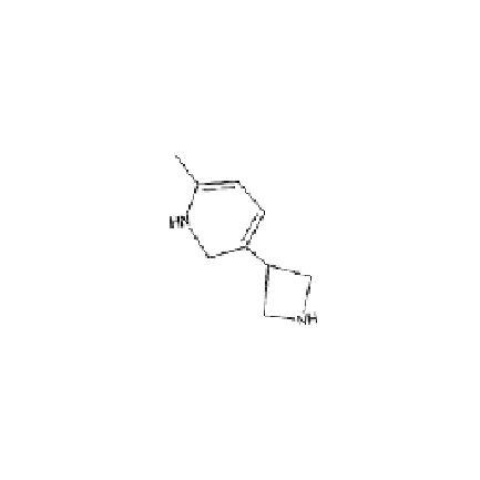 CC1=CC=C(C2CNC2)CN1